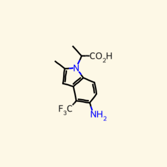 Cc1cc2c(C(F)(F)F)c(N)ccc2n1C(C)C(=O)O